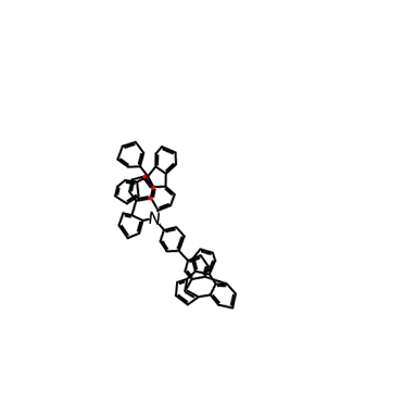 c1ccc(-c2ccccc2N(c2ccc(-c3ccc4c(c3)-c3c5cccc3-c3cccc-4c3-c3ccccc3-5)cc2)c2ccc3c(c2)C(c2ccccc2)(c2ccccc2)c2ccccc2-3)cc1